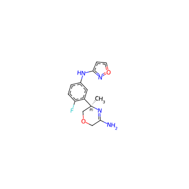 C[C@@]1(c2cc(Nc3ccon3)ccc2F)COCC(N)=N1